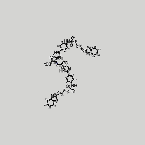 CC(C)(C)c1nn2nc(-c3ccc(NS(=O)(=O)CCCSc4nc5ccccc5s4)cc3)[nH]c2c1/C=c1/c(C(C)(C)C)nn2nc(-c3ccc(NS(=O)(=O)CCCSc4nc5ccccc5s4)cc3)nc12